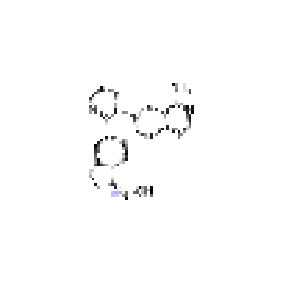 Nc1ncnc2ccc(-c3cccnc3-c3ccc4c(c3)CC/C4=N/O)cc12